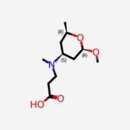 CO[C@H]1C[C@@H](N(C)CCC(=O)O)C[C@@H](C)O1